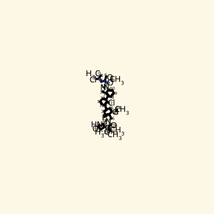 CC/C(Cl)=C\C(C=O)=C(\OC)n1ncc2c(-c3cccc(-c4cc(F)c(CN(C[C@@H]5CCC(=O)N5)C(=O)OC(C)(C)C)c(OC)c4)c3Cl)cccc21